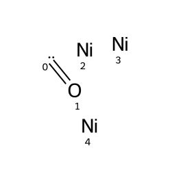 [C]=O.[Ni].[Ni].[Ni]